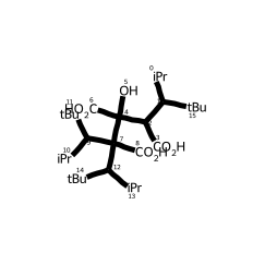 CC(C)C(C(C(=O)O)C(O)(C(=O)O)C(C(=O)O)(C(C(C)C)C(C)(C)C)C(C(C)C)C(C)(C)C)C(C)(C)C